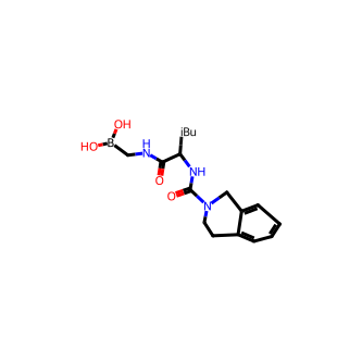 CCC(C)C(NC(=O)N1CCc2ccccc2C1)C(=O)NCB(O)O